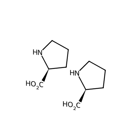 O=C(O)[C@@H]1CCCN1.O=C(O)[C@@H]1CCCN1